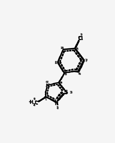 [CH2]c1nsc(-c2ccc(Cl)cc2)n1